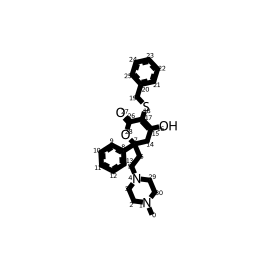 CN1CCN(CCC2(c3ccccc3)CC(O)=C(SCc3ccccc3)C(=O)O2)CC1